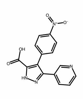 O=C(O)c1[nH]nc(-c2cccnc2)c1-c1ccc([N+](=O)[O-])cc1